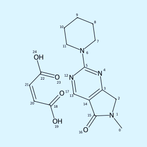 CN1Cc2nc(N3CCCCC3)ncc2C1=O.O=C(O)/C=C\C(=O)O